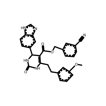 COc1cccc(CCC2=C(C(=O)OCc3cccc(C#N)c3)C(c3ccc4[nH]cnc4c3)NC(=O)N2)c1